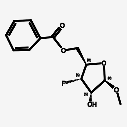 CO[C@@H]1O[C@H](COC(=O)c2ccccc2)[C@@H](F)[C@H]1O